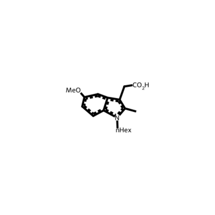 CCCCCCn1c(C)c(CC(=O)O)c2cc(OC)ccc21